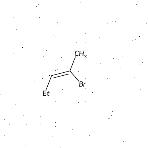 CC/[C]=C(/C)Br